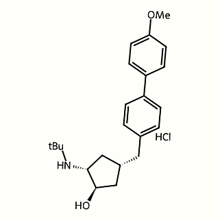 COc1ccc(-c2ccc(C[C@@H]3C[C@@H](O)[C@H](NC(C)(C)C)C3)cc2)cc1.Cl